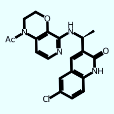 CC(=O)N1CCOc2c1ccnc2N[C@@H](C)c1cc2cc(Cl)ccc2[nH]c1=O